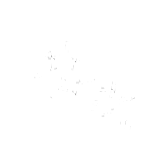 Cc1nc2c(c(C)nn2CC(=O)NC(C)[C@@H](C)C(F)(F)F)c(=O)[nH]1